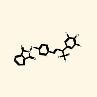 O=C1c2ccccc2C(=O)N1Oc1ccc(/C=C/C(c2cc(Cl)c(Cl)c(Cl)c2)C(F)(F)F)cc1